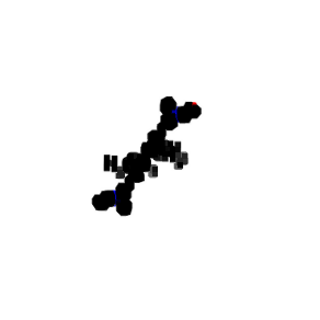 CC1(C)c2cc(/C=C/c3ccc4c(c3)c3ccccc3n4-c3ccc4ccccc4c3)ccc2-c2ccc(-c3ccc4c(c3)C(C)(C)c3cc(/C=C/c5ccc6c(c5)c5ccccc5n6-c5ccc6ccccc6c5)ccc3-4)cc21